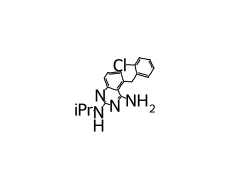 CC(C)Nc1nc(N)c2c(Cc3ccccc3Cl)cccc2n1